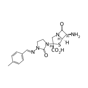 Cc1ccc(C=NN2CCN([C@]3(C(=O)O)CN4C(=O)[C@@H](N)[C@H]4S3)C2=O)cc1